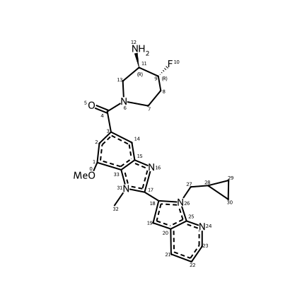 COc1cc(C(=O)N2CC[C@@H](F)[C@H](N)C2)cc2nc(-c3cc4cccnc4n3CC3CC3)n(C)c12